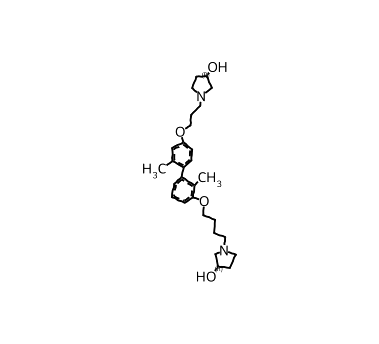 Cc1cc(OCCCN2CC[C@@H](O)C2)ccc1-c1cccc(OCCCCN2CC[C@@H](O)C2)c1C